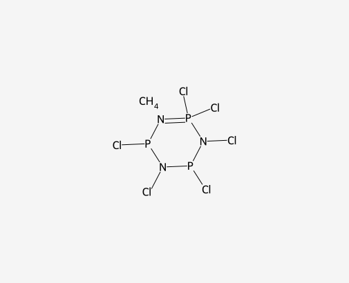 C.ClN1P(Cl)N=P(Cl)(Cl)N(Cl)P1Cl